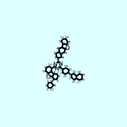 c1ccc(-c2cccc3c2oc2cccc(-c4nc(-c5ccc(-c6ccc7ccccc7c6)cc5)nc(-c5ccc6cc7c(cc6c5)oc5ccccc57)n4)c23)cc1